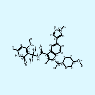 [2H]C([2H])(NC(=O)c1c(C)n([C@H](C)C2CCC(OC)CC2)c2ccc(-c3cnn(C)c3)cc12)c1c(SC)cc(C)[nH]c1=O